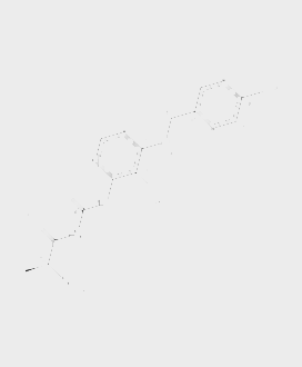 C[C@H](N)C(=O)NC(=O)Oc1nccc(OCc2ccc(F)cc2)c1O